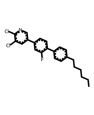 CCCCCCc1ccc(-c2ccc(-c3cnc(Cl)c(Cl)c3)cc2F)cc1